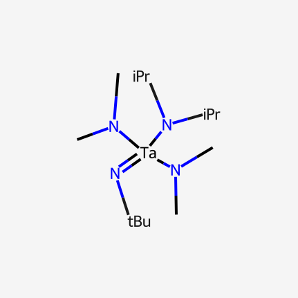 CC(C)[N](C(C)C)[Ta](=[N]C(C)(C)C)([N](C)C)[N](C)C